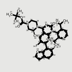 CC(C)c1ccnc(C(C)C)c1-n1c(=O)nc(N2CCN(C(=O)OC(C)(C)C)C[C@@H]2C)c2cc(F)c(-c3c(F)ccc4ccoc34)nc21